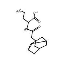 CCCC(NC(=O)CC12CC3CC(CC(C3)C1)C2)C(=O)O